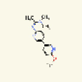 COc1ccc(-c2ccc(N=C(C)N(C)C)nc2)cn1